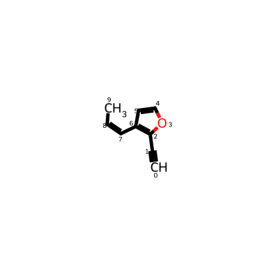 C#Cc1occc1/C=C\C